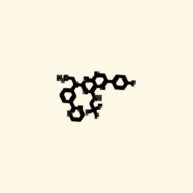 CCN(c1cccc(-c2ncccn2)c1)c1nc(NCC(F)(F)F)c2nc(-c3ccc(F)cc3)cnc2n1